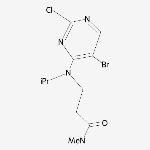 CNC(=O)CCN(c1nc(Cl)ncc1Br)C(C)C